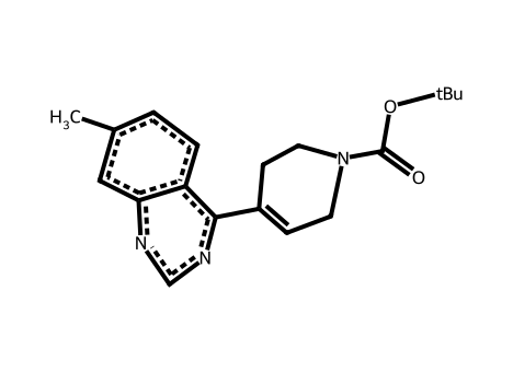 Cc1ccc2c(C3=CCN(C(=O)OC(C)(C)C)CC3)ncnc2c1